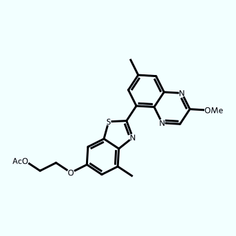 COc1cnc2c(-c3nc4c(C)cc(OCCOC(C)=O)cc4s3)cc(C)cc2n1